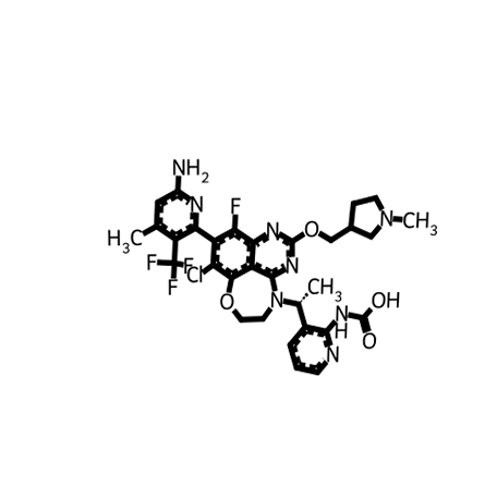 Cc1cc(N)nc(-c2c(Cl)c3c4c(nc(OCC5CCN(C)C5)nc4c2F)N([C@H](C)c2cccnc2NC(=O)O)CCO3)c1C(F)(F)F